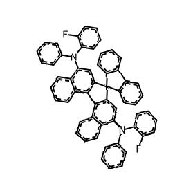 Fc1ccccc1N(c1ccccc1)c1cc2c(c3ccccc13)-c1c(cc(N(c3ccccc3)c3ccccc3F)c3ccccc13)C21c2ccccc2-c2ccccc21